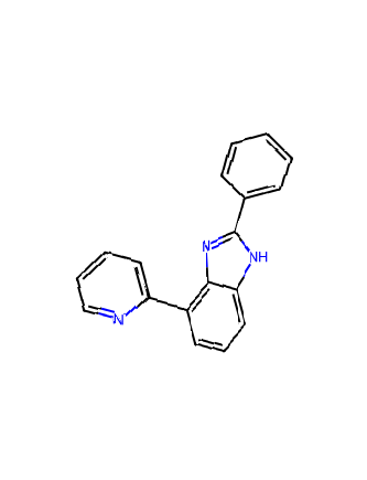 c1ccc(-c2nc3c(-c4ccccn4)cccc3[nH]2)cc1